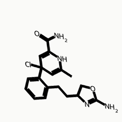 CC1=CC(Cl)(c2ccccc2CCC2COC(N)=N2)C=C(C(N)=O)N1